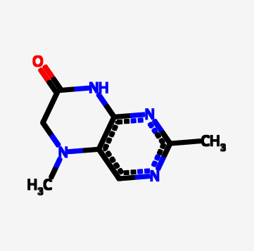 Cc1ncc2c(n1)NC(=O)CN2C